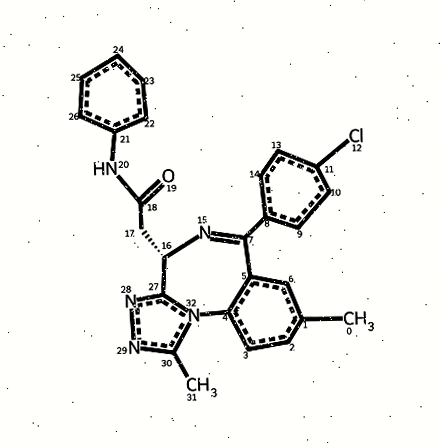 Cc1ccc2c(c1)C(c1ccc(Cl)cc1)=N[C@@H](CC(=O)Nc1ccccc1)c1nnc(C)n1-2